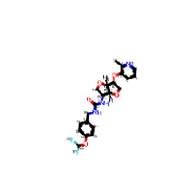 Cc1ncccc1O[C@H]1CO[C@H]2[C@@H]1OC[C@@H]2NC(=O)NCc1ccc(OC(F)F)cc1